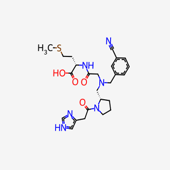 CSCC[C@H](NC(=O)CN(Cc1cccc(C#N)c1)C[C@@H]1CCCN1C(=O)Cc1c[nH]cn1)C(=O)O